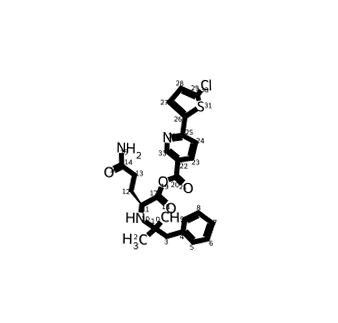 CC(C)(Cc1ccccc1)N[C@@H](CCC(N)=O)C(=O)OC(=O)c1ccc(-c2ccc(Cl)s2)nc1